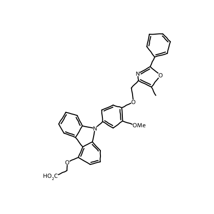 COc1cc(-n2c3ccccc3c3c(OCC(=O)O)cccc32)ccc1OCc1nc(-c2ccccc2)oc1C